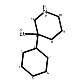 CCC1(C2CCCCC2)CCCNC1